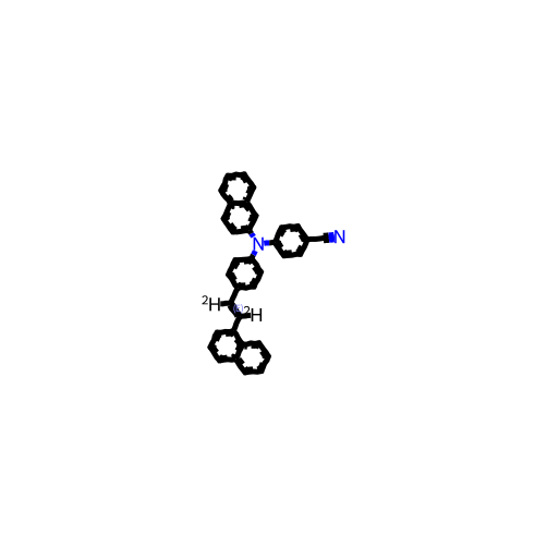 [2H]/C(=C(/[2H])c1cccc2ccccc12)c1ccc(N(c2ccc(C#N)cc2)c2ccc3ccccc3c2)cc1